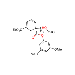 CCOC(=O)C1=CC=CC(C)(C(=O)Oc2cc(OC)cc(OC)c2)C1.O=CO